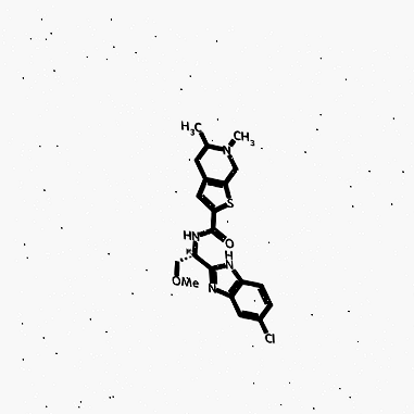 COC[C@H](NC(=O)c1cc2c(s1)CN(C)C(C)C2)c1nc2cc(Cl)ccc2[nH]1